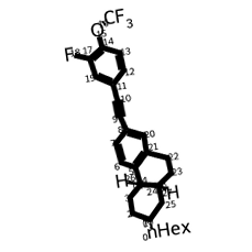 CCCCCC[C@@H]1CC[C@@H]2c3ccc(C#Cc4ccc(OC(F)(F)F)c(F)c4)cc3CC[C@@H]2C1